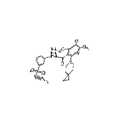 Cc1nc(N2CCC3(CC2)CC3)c(C(=O)Nc2cccc(S(N)(=O)=O)c2)c(C)c1Cl